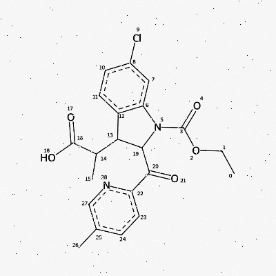 CCOC(=O)N1c2cc(Cl)ccc2C(C(C)C(=O)O)C1C(=O)c1ccc(C)cn1